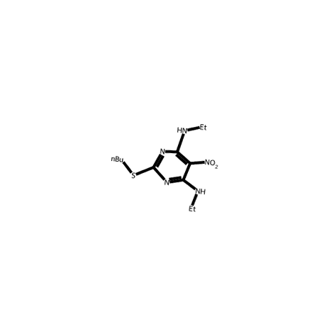 CCCCSc1nc(NCC)c([N+](=O)[O-])c(NCC)n1